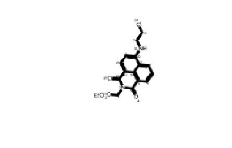 CCOC(=O)CN1C(=O)c2cccc3c(NCCCl)ccc(c23)C1=O